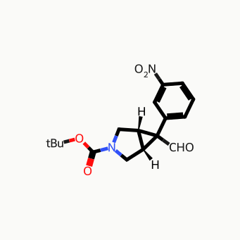 CC(C)(C)OC(=O)N1C[C@@H]2[C@H](C1)C2(C=O)c1cccc([N+](=O)[O-])c1